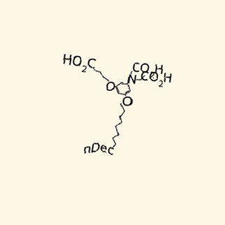 CCCCCCCCCCCCCCCCCCOc1cc(OCCCCC(=O)O)cc(N(CC(=O)O)CC(=O)O)c1